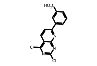 O=C(O)c1cccc(-c2ccc3c(Cl)nc(Cl)nc3n2)c1